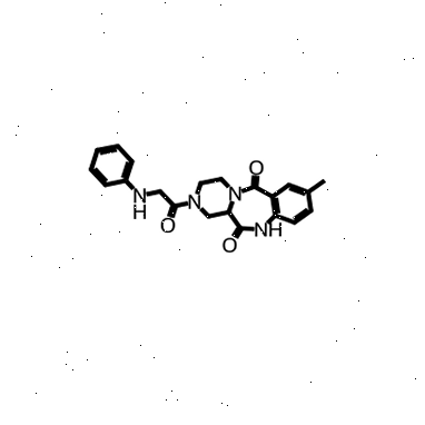 Cc1ccc2c(c1)C(=O)N1CCN(C(=O)CNc3ccccc3)CC1C(=O)N2